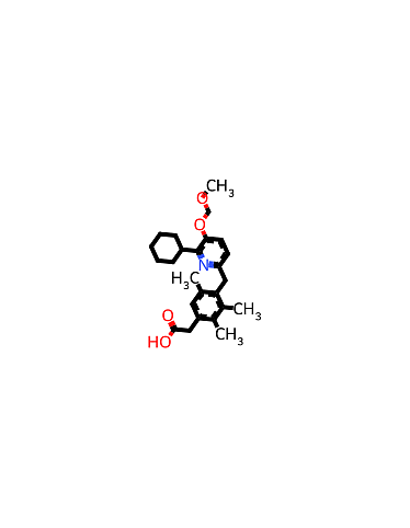 COCOc1ccc(Cc2c(C)cc(CC(=O)O)c(C)c2C)nc1C1CCCCC1